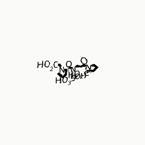 O=C(O)CN1CCC[C@H]1C(=O)NCCC(=O)N1CCC[C@H]1C(=O)O.O=S(=O)(O)O